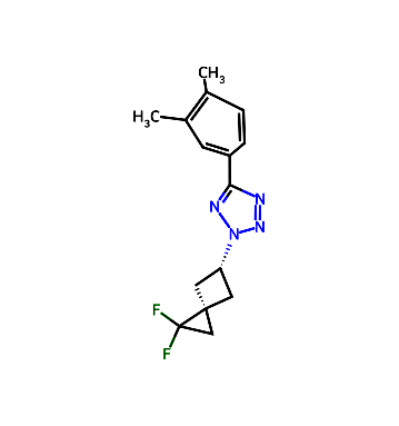 Cc1ccc(-c2nnn([C@H]3C[C@@]4(CC4(F)F)C3)n2)cc1C